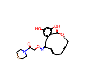 O=C1OCC/C=C/CC/C=C/C(=N/OCC(=O)N2CCSCC2)Cc2cc(O)cc(O)c21